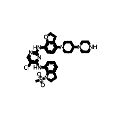 CS(=O)(=O)N1CCc2cccc(Nc3nc(Nc4ccc(N5CCC(N6CCNCC6)CC5)c5c4OCC5)ncc3Cl)c21